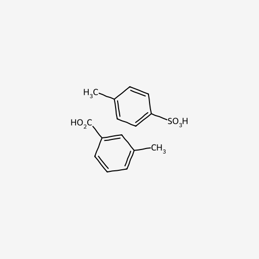 Cc1ccc(S(=O)(=O)O)cc1.Cc1cccc(C(=O)O)c1